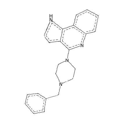 c1ccc(CN2CCN(c3nc4ccccc4c4[nH]ccc34)CC2)cc1